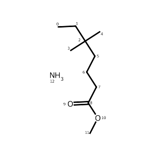 CCC(C)(C)CCCC(=O)OC.N